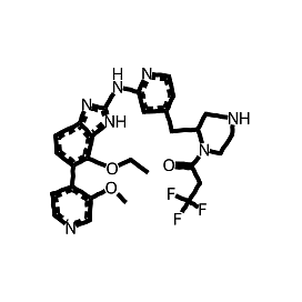 CCOc1c(-c2ccncc2OC)ccc2nc(Nc3cc(CC4CNCCN4C(=O)CC(F)(F)F)ccn3)[nH]c12